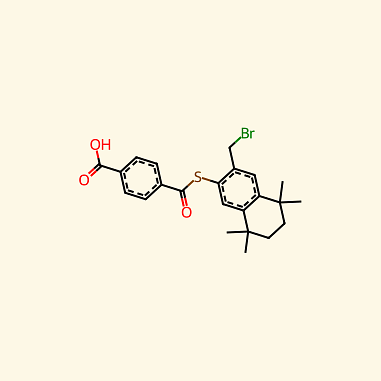 CC1(C)CCC(C)(C)c2cc(SC(=O)c3ccc(C(=O)O)cc3)c(CBr)cc21